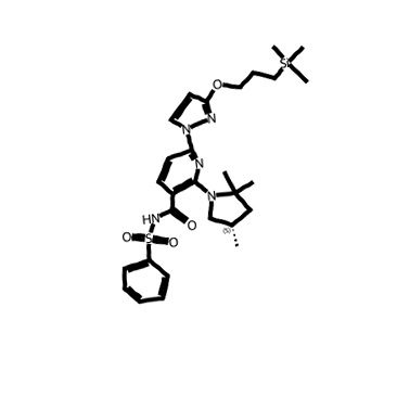 C[C@@H]1CN(c2nc(-n3ccc(OCCC[Si](C)(C)C)n3)ccc2C(=O)NS(=O)(=O)c2ccccc2)C(C)(C)C1